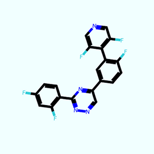 Fc1ccc(-c2nncc(-c3ccc(F)c(-c4c(F)cncc4F)c3)n2)c(F)c1